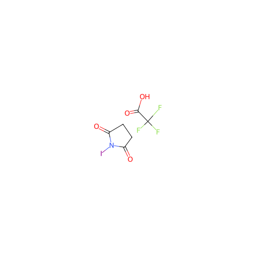 O=C(O)C(F)(F)F.O=C1CCC(=O)N1I